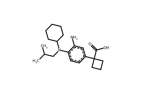 CC(C)CN(c1ccc(C2(C(=O)O)CCC2)cc1N)C1CCCCC1